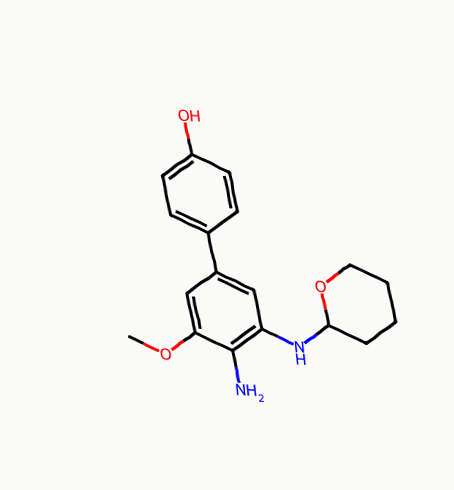 COc1cc(-c2ccc(O)cc2)cc(NC2CCCCO2)c1N